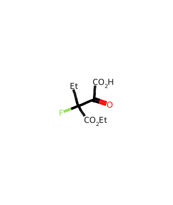 CCOC(=O)C(F)(CC)C(=O)C(=O)O